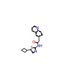 O=C(Cc1ccc2ncccc2c1)Nc1ncc(C2CCC2)s1